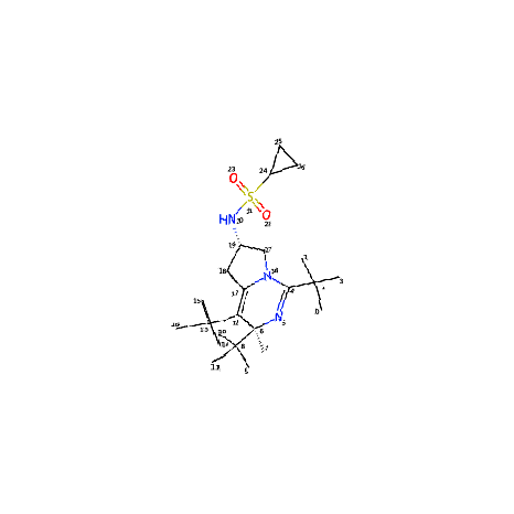 CC(C)(C)C1=N[C@@](C)(C(C)(C)C)C(C(C)(C)C)=C2C[C@H](NS(=O)(=O)C3CC3)CN12